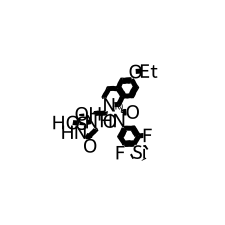 CCOc1ccc2c(c1)CCN(C(=O)CN1CC(=O)NS1(O)O)[C@H]2C(=O)Nc1cc(F)c([Si](C)(C)C)c(F)c1